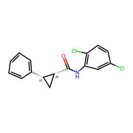 O=C(Nc1cc(Cl)ccc1Cl)[C@@H]1C[C@@H]1c1ccccc1